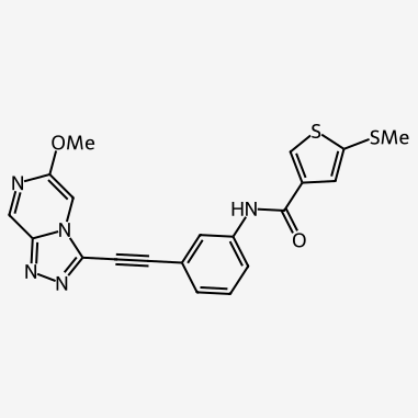 COc1cn2c(C#Cc3cccc(NC(=O)c4csc(SC)c4)c3)nnc2cn1